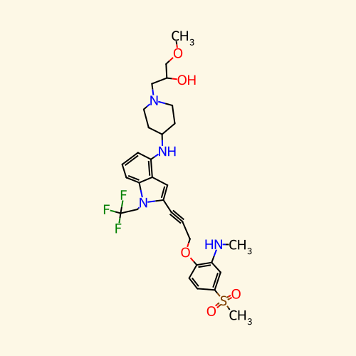 CNc1cc(S(C)(=O)=O)ccc1OCC#Cc1cc2c(NC3CCN(CC(O)COC)CC3)cccc2n1CC(F)(F)F